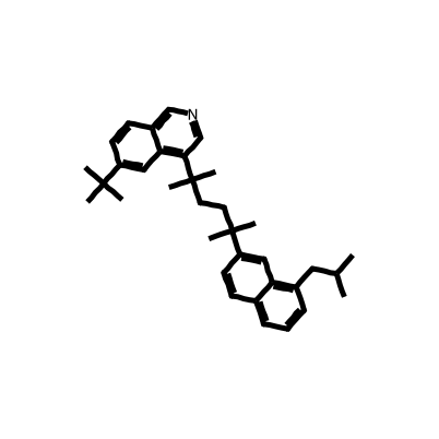 CC(C)Cc1cccc2ccc(C(C)(C)CCC(C)(C)c3cncc4ccc(C(C)(C)C)cc34)cc12